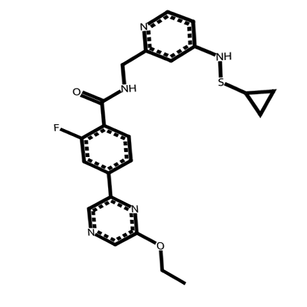 CCOc1cncc(-c2ccc(C(=O)NCc3cc(NSC4CC4)ccn3)c(F)c2)n1